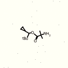 CC(C)(N)C(=O)OC(C1CC1)C(C)(C)C